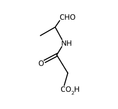 CC(C=O)NC(=O)CC(=O)O